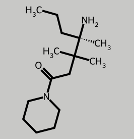 CCC[C@@](C)(N)C(C)(C)CC(=O)N1CCCCC1